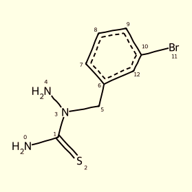 NC(=S)N(N)Cc1cccc(Br)c1